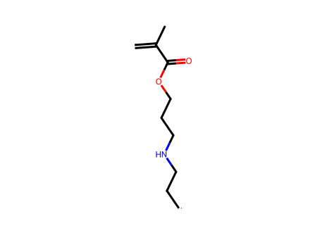 [CH2]CCNCCCOC(=O)C(=C)C